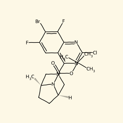 CC(C)(C)OC(=O)N1[C@@H]2CC[C@@]1(C)CN(c1nc(Cl)nc3c(F)c(Br)c(F)cc13)C2